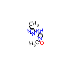 CCc1cc(NC2CCN(C(C)=O)C2)ncn1